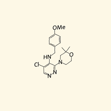 COc1ccc(CNc2c(Cl)cnnc2N2CCOC(C)(C)C2)cc1